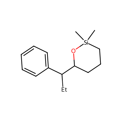 CCC(c1ccccc1)C1CCC[Si](C)(C)O1